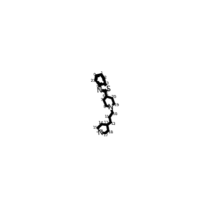 c1ccc2sc(C3CCN(CCCC4CC[N]CC4)CC3)nc2c1